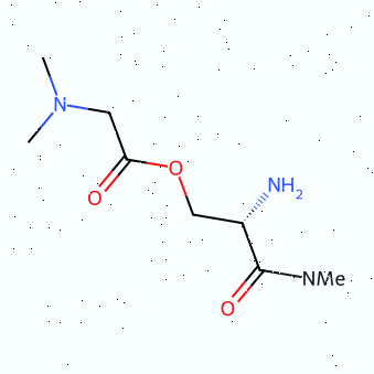 CNC(=O)[C@@H](N)COC(=O)CN(C)C